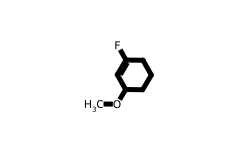 COC1C=C(F)CCC1